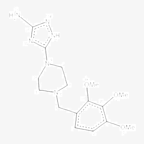 COc1ccc(CN2CCN(c3nc(N)n[nH]3)CC2)c(OC)c1OC